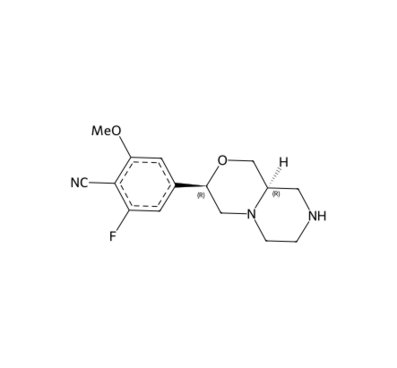 COc1cc([C@@H]2CN3CCNC[C@@H]3CO2)cc(F)c1C#N